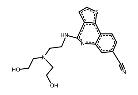 N#Cc1ccc2c(c1)nc(NCCN(CCO)CCO)c1ccsc12